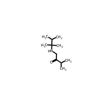 CC(C)C(=O)CNC(C)(C)C(C)C